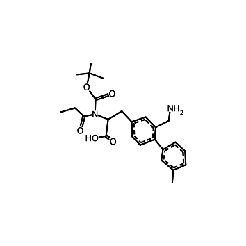 CCC(=O)N(C(=O)OC(C)(C)C)C(Cc1ccc(-c2cccc(C)c2)c(CN)c1)C(=O)O